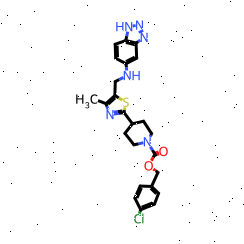 Cc1nc(C2CCN(C(=O)OCc3ccc(Cl)cc3)CC2)sc1CNc1ccc2[nH]nnc2c1